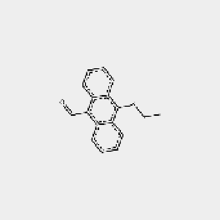 CCSc1c2ccccc2c(C=O)c2ccccc12